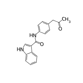 CC(=O)Cc1ccc(NC(=O)c2c[nH]c3ccccc23)cc1